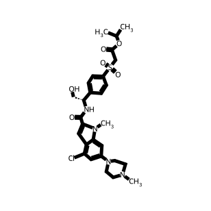 CC(C)OC(=O)CS(=O)(=O)c1ccc([C@@H](CO)NC(=O)c2cc3c(Cl)cc(N4CCN(C)CC4)cc3n2C)cc1